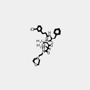 CC(C)[C@H](NC(=O)[C@H](Cc1ccccc1)NC(=O)CCc1cccc(Cl)c1)C(=O)C(F)(F)C(=O)NCCN1CCOCC1